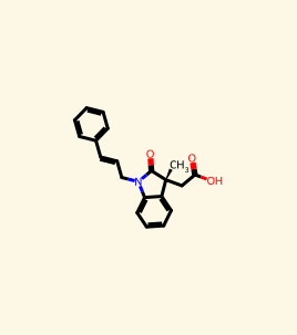 C[C@]1(CC(=O)O)C(=O)N(CC=Cc2ccccc2)c2ccccc21